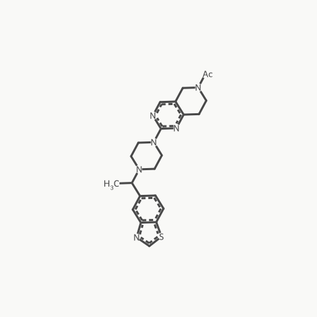 CC(=O)N1CCc2nc(N3CCN(C(C)c4ccc5scnc5c4)CC3)ncc2C1